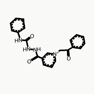 O=C(NNC(=O)c1ccc[n+](CC(=O)c2ccccc2)c1)Nc1ccccc1